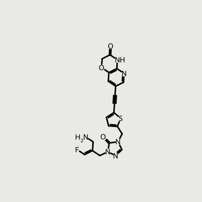 NC/C(=C\F)Cn1ncn(Cc2ccc(C#Cc3cnc4c(c3)OCC(=O)N4)s2)c1=O